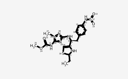 CCC1NC([C@H](Cc2ccc(N[SH](=O)=O)cc2)Nc2nc(NC(=O)OC)n(C)n2)=CS1